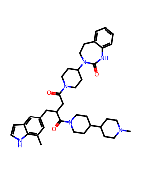 Cc1cc(CC(CC(=O)N2CCC(N3CCc4ccccc4NC3=O)CC2)C(=O)N2CCC(C3CCN(C)CC3)CC2)cc2cc[nH]c12